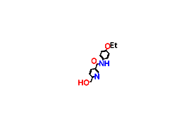 CCOc1ccc(NC(=O)c2ccc(CO)nc2)cc1